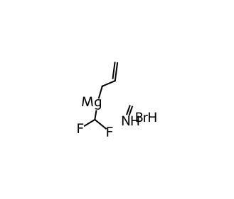 Br.C=C[CH2][Mg][CH](F)F.C=N